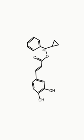 O=C(C=Cc1ccc(O)c(O)c1)O[C@H](c1ccccc1)C1CC1